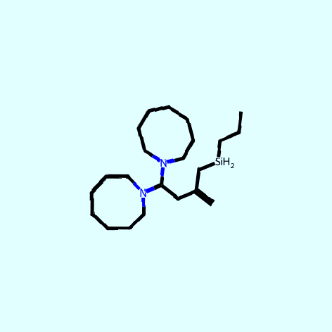 C=C(C[SiH2]CCC)CC(N1CCCCCCC1)N1CCCCCCC1